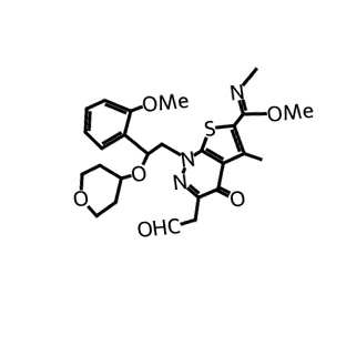 C/N=C(\OC)c1sc2c(c1C)c(=O)c(CC=O)nn2CC(OC1CCOCC1)c1ccccc1OC